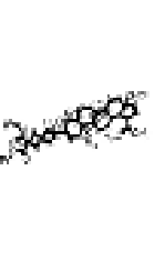 C=C(C)[C@@H]1CCC2(C=O)CCC3C(CCC4C3(C)CCC3C(C)(C)C(C5=CC6(C5)CC(C(=O)OC(C)C)(C(=O)OC(C)C)C6)=CCC34C)C12